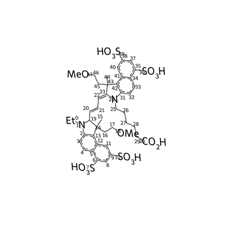 CCN1c2ccc3c(S(=O)(=O)O)cc(S(=O)(=O)O)cc3c2C(C)(CCOC)C1C=CC=C1N(CCCCCC(=O)O)c2ccc3c(S(=O)(=O)O)cc(S(=O)(=O)O)cc3c2C1(C)CCOC